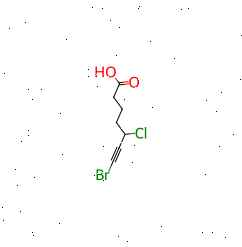 O=C(O)CCCC(Cl)C#CBr